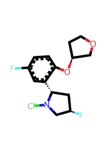 Fc1ccc(O[C@H]2CCOC2)c([C@@H]2C[C@@H](F)CN2Cl)c1